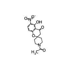 CC(=O)N1CCC2(CC1)CC(=O)c1c(ccc([N+](=O)[O-])c1O)O2